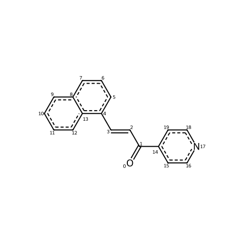 O=C(C=Cc1cccc2ccccc12)c1ccncc1